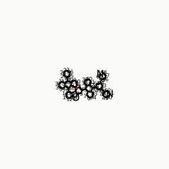 C1=CC2=C(c3ccc4c(c3)oc3cccc(-c5c6ccccc6c(-c6ccccc6)c6ccccc56)c34)c3ccccc3C(c3cc(-c4cccnc4)cc(-c4cccnc4)c3)C2C=C1